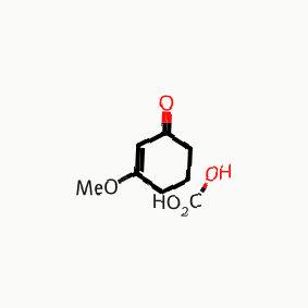 COC1=CC(=O)CCC1.O=C(O)O